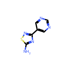 Nc1nc(-c2cncnc2)ns1